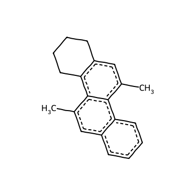 Cc1cc2ccccc2c2c(C)cc3c(c12)CCCC3